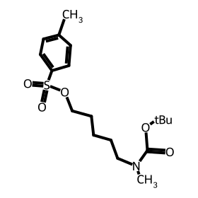 Cc1ccc(S(=O)(=O)OCCCCCN(C)C(=O)OC(C)(C)C)cc1